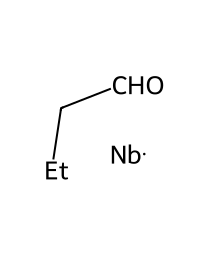 CCCC=O.[Nb]